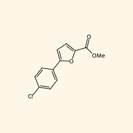 COC(=O)c1ccc(-c2ccc(Cl)cc2)o1